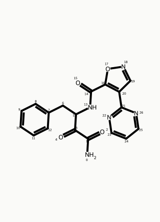 NC(=O)C(=O)C(Cc1ccccc1)NC(=O)c1oncc1-c1ncccn1